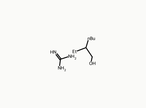 CCCCC(CC)CO.N=C(N)N